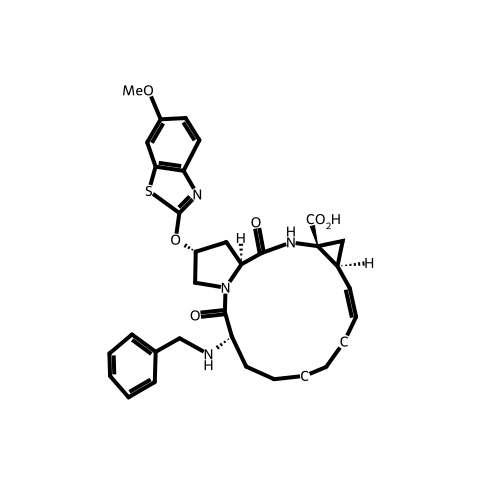 COc1ccc2nc(O[C@@H]3C[C@H]4C(=O)N[C@]5(C(=O)O)C[C@H]5/C=C\CCCCC[C@H](NCc5ccccc5)C(=O)N4C3)sc2c1